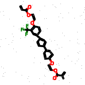 C=CC(=O)O/C=C\Oc1ccc(-c2ccc(-c3ccc(O/C=C\OC(=O)C(=C)C)cc3)cc2)cc1C(F)(F)F